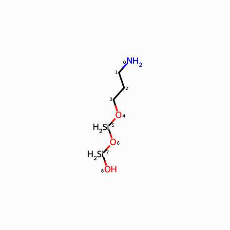 NCCCO[SiH2]O[SiH2]O